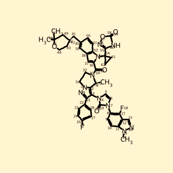 C[C@H]1c2c(-n3ccn(-c4ccc5c(cnn5C)c4F)c3=O)c(-c3ccc(F)cc3)nn2CCN1C(=O)c1cc2cc(C[C@H]3CCOC(C)(C)C3)ccc2n1C1(c2noc(=O)[nH]2)CC1